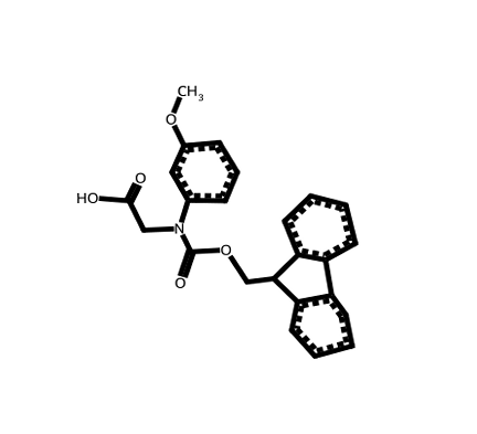 COc1cccc(N(CC(=O)O)C(=O)OCC2c3ccccc3-c3ccccc32)c1